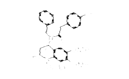 CCOC(=O)N1c2cc(OC)c(OC)cc2[C@H](N(Cc2ccccc2)C(=O)Cc2ccc(C(F)(F)F)cc2)C[C@@H]1C